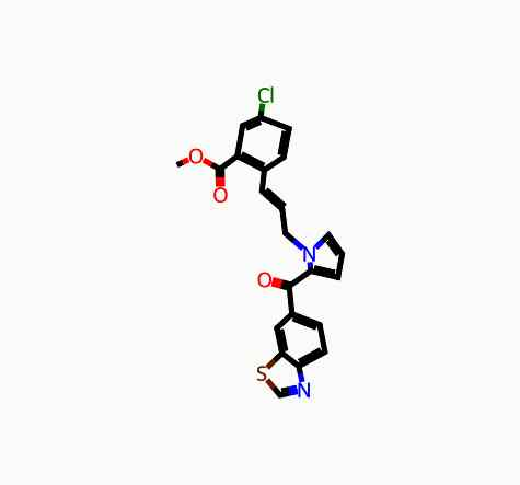 COC(=O)c1cc(Cl)ccc1/C=C/Cn1cccc1C(=O)c1ccc2ncsc2c1